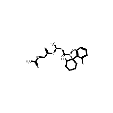 CC(=O)NCC(=O)OC(C)OC(=O)N(C)[C@@]1(c2ccccc2Cl)CCCCC1O